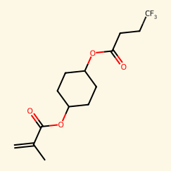 C=C(C)C(=O)OC1CCC(OC(=O)CCC(F)(F)F)CC1